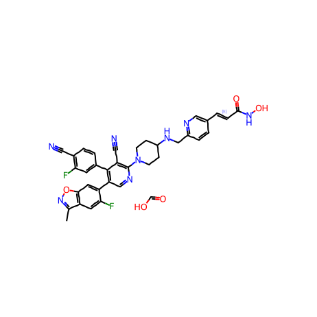 Cc1noc2cc(-c3cnc(N4CCC(NCc5ccc(/C=C/C(=O)NO)cn5)CC4)c(C#N)c3-c3ccc(C#N)c(F)c3)c(F)cc12.O=CO